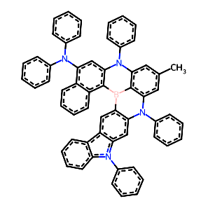 Cc1cc2c3c(c1)N(c1ccccc1)c1cc(N(c4ccccc4)c4ccccc4)c4ccccc4c1B3c1cc3c4ccccc4n(-c4ccccc4)c3cc1N2c1ccccc1